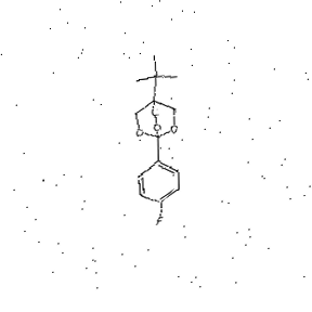 CC(C)(C)C12COC(c3ccc(F)cc3)(OC1)OC2